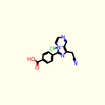 N#CCC1=C2C=NC=C[N+]2(Cl)C(c2ccc(C(=O)O)cc2)=N1